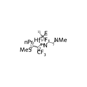 CCC/C(SC)=C(\[C](=NCCNC)[Hf][C](C)(F)F)C(F)(F)F